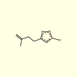 C=C(C)CCc1cn(CC)nn1